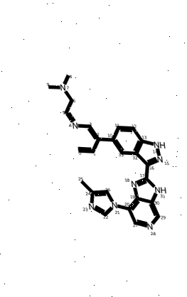 C=C/C(=C\N=C/CN(C)C)c1ccc2[nH]nc(-c3nc4c(-n5cnc(C)c5)cncc4[nH]3)c2c1